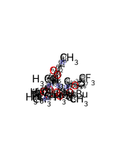 C/C=C/CCCC(=O)O[C@@H]1C[C@H](O[Si](C)(C)C(C)(C)C)[C@@H](/C=C/[C@@H](C)COc2cccc(C(F)(F)F)c2)[C@@H]1C/C=C/C[C@H]1[C@H](/C=C/[C@H](COc2cccc(C)c2)O[Si](C)(C)C(C)(C)C)[C@@H](C)C[C@H]1OC(=O)CCC/C=C/C